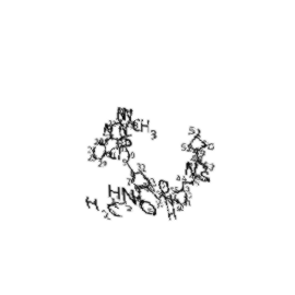 C=CCNC(=O)c1cc(CCc2cc3c(s2)-n2c(C)nnc2CN=C3c2ccccc2Cl)ccc1CC(=O)Nc1cccc(/C=C/c2nc(C3CCC3)cs2)c1